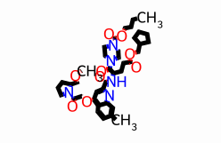 CCCCOC(=O)N1CCN(C(=O)C(CCC(=O)OCC2CCCC2)NC(=O)c2cc(OCC(=O)N3CCCC3COC)c3ccc(C)cc3n2)CC1